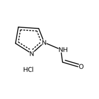 Cl.O=CNn1cccn1